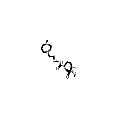 CON1C(=O)N2C[C@H]1CC[C@H]2C(=O)NOCCN1CCCN(C)CC1